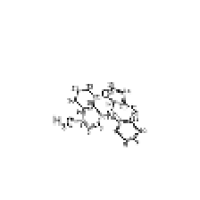 Cc1ccc(N2c3ccccc3Sc3ccoc32)c2c1CCCC2